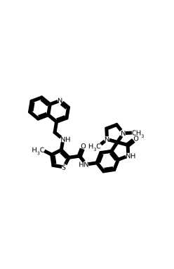 Cc1csc(C(=O)Nc2ccc3c(c2)C2(C(=O)N3)N(C)CCN2C)c1NCc1ccnc2ccccc12